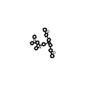 c1ccc(-n2c3ccccc3c3c4c(ccc32)c(-c2ccc(-n3c5cc(-c6ccc7c(c6)oc6ccccc67)ccc5c5ccc(-c6ccc7c(c6)oc6ccccc67)cc53)cc2)nc2ccccc24)cc1